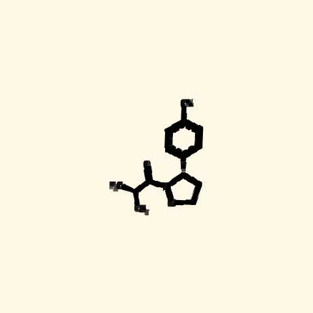 C[C@H](C(=O)N1OCC[C@H]1c1ccc(C#N)cc1)C(F)(F)F